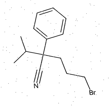 CC(C)C(C#N)(CCCBr)c1ccccc1